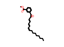 CCCCCCCC\C=C/C=C/C=C/C1OC1c1cccc(C(=O)OC)c1